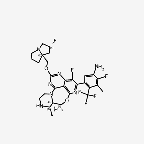 Cc1c(F)c(N)cc(-c2nc3c4c(nc(OC[C@@]56CCCN5C[C@H](F)C6)nc4c2F)N2CCN[C@H](C)[C@@H]2[C@@H](C)O3)c1C(F)(F)F